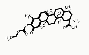 CCOC(=O)OC1=C(C)C2=CC=C3[C@@](C)(CC[C@@]4(C)[C@@H]5C[C@](C)(C(=O)O)CC[C@]5(C)CC[C@]34C)C2=CC1=O